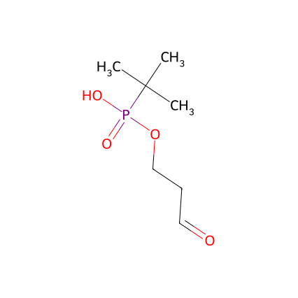 CC(C)(C)P(=O)(O)OCCC=O